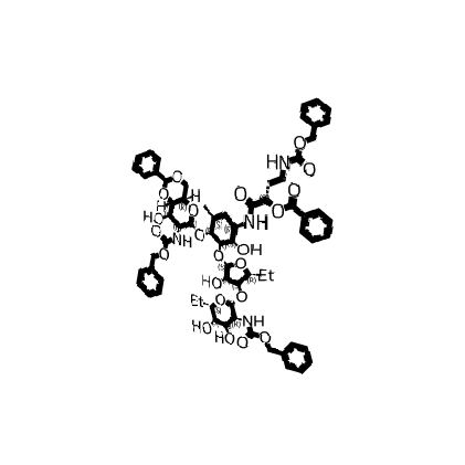 CC[C@@H]1O[C@H](O[C@H]2[C@@H](O)[C@H](O[C@@H]3[C@@H](O)[C@H](NC(=O)[C@H](CCNC(=O)OCc4ccccc4)OC(=O)c4ccccc4)C[C@H](C)[C@H]3O[C@H]3O[C@@H]4COC(c5ccccc5)O[C@H]4[C@H](O)[C@H]3NC(=O)OCc3ccccc3)O[C@@H]2CC)[C@H](NC(=O)OCc2ccccc2)[C@@H](O)[C@@H]1O